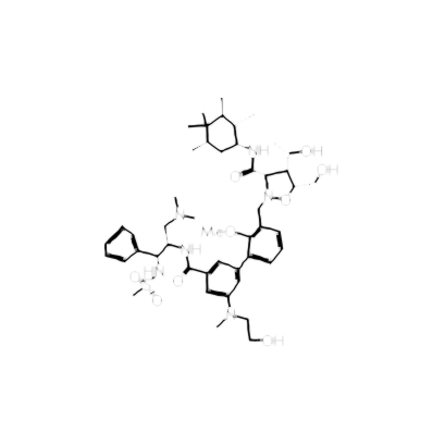 COc1c(CN2O[C@@H](CO)[C@@H]([C@H](C)O)[C@H]2C(=O)N[C@H]2C[C@@H](C)C(C)(C)[C@@H](C)[C@@H]2C)cccc1-c1cc(C(=O)N[C@H](CN(C)C)[C@@H](NS(C)(=O)=O)c2ccccc2)cc(N(C)CCO)c1